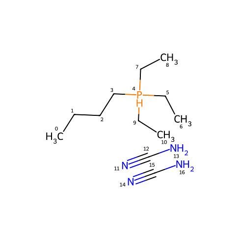 CCCC[PH](CC)(CC)CC.N#CN.N#CN